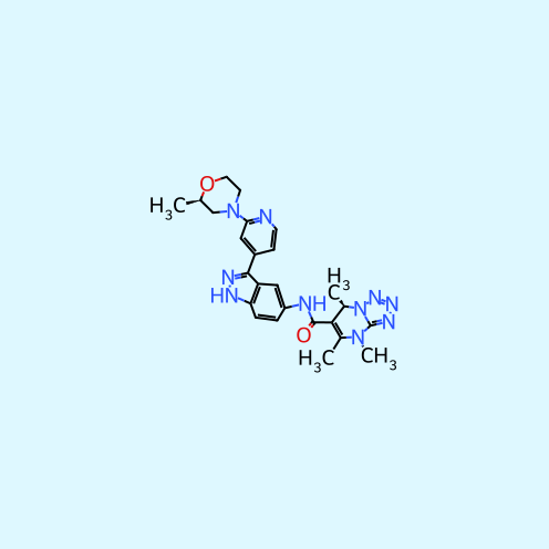 CC1=C(C(=O)Nc2ccc3[nH]nc(-c4ccnc(N5CCO[C@H](C)C5)c4)c3c2)[C@@H](C)n2nnnc2N1C